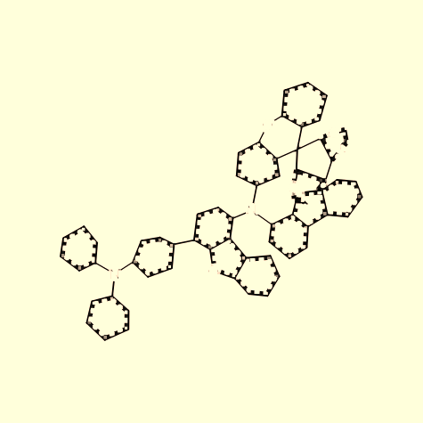 c1ccc(N(c2ccccc2)c2ccc(-c3ccc(N(c4ccc5c(c4)C4(c6ccccc6O5)c5ccccc5-c5ccccc54)c4cccc5c4oc4ccccc45)c4c3oc3ccccc34)cc2)cc1